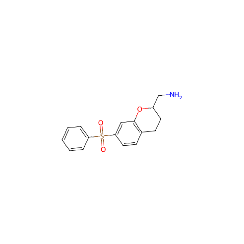 NCC1CCc2ccc(S(=O)(=O)c3ccccc3)cc2O1